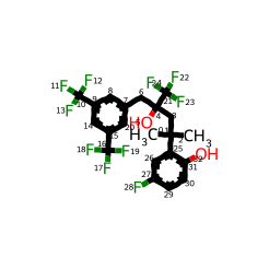 CC(C)(CC(O)(Cc1cc(C(F)(F)F)cc(C(F)(F)F)c1)C(F)(F)F)c1cc(F)ccc1O